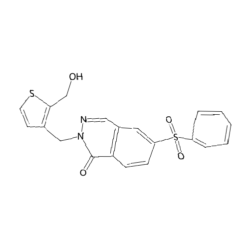 O=c1c2ccc(S(=O)(=O)c3ccccc3)cc2cnn1Cc1ccsc1CO